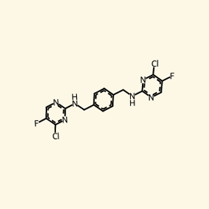 Fc1cnc(NCc2ccc(CNc3ncc(F)c(Cl)n3)cc2)nc1Cl